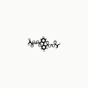 C=C(C)C(=O)OCOC(=O)c1ccccc1-c1ccccc1C(=O)OCOC(=O)C(=C)C